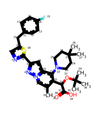 Cc1cn2nc(-c3ncc(Cc4ccc(F)cc4)s3)cc2c(N2CCC(C)(C)CC2)c1C(OC(C)(C)C)C(=O)O